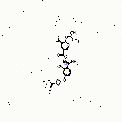 CC(=O)[C@H]1C[C@H](Oc2ccc(/C(N)=N/OC(=O)c3cnc(OC(C)C)c(Cl)c3)c(Cl)c2)C1